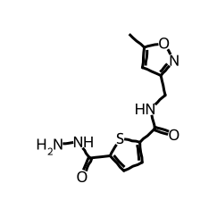 Cc1cc(CNC(=O)c2ccc(C(=O)NN)s2)no1